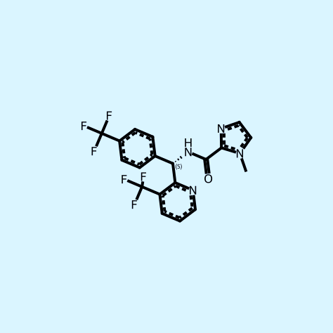 Cn1ccnc1C(=O)N[C@@H](c1ccc(C(F)(F)F)cc1)c1ncccc1C(F)(F)F